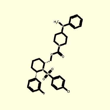 CN(c1ccccc1)C1CCN(C(=O)OC[C@H]2CCC[C@@H](c3cccc(F)c3)N2S(=O)(=O)c2ccc(Cl)cc2)CC1